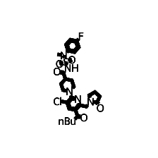 CCCCC(=O)c1cc(Cl)c(N2CCC(C(=O)NS(=O)(=O)N(C)c3ccc(F)cc3)CC2)nc1CN1CCCC1=O